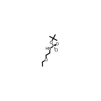 CCOCCNP(=O)(Cl)OC(C)(C)C